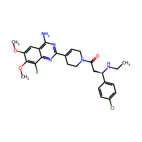 CCN[C@H](CC(=O)N1CC=C(c2nc(N)c3cc(OC)c(OC)c(F)c3n2)CC1)c1ccc(Cl)cc1